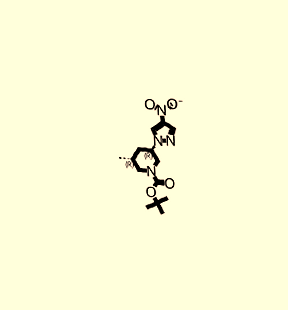 C[C@@H]1C[C@@H](n2cc([N+](=O)[O-])cn2)CN(C(=O)OC(C)(C)C)C1